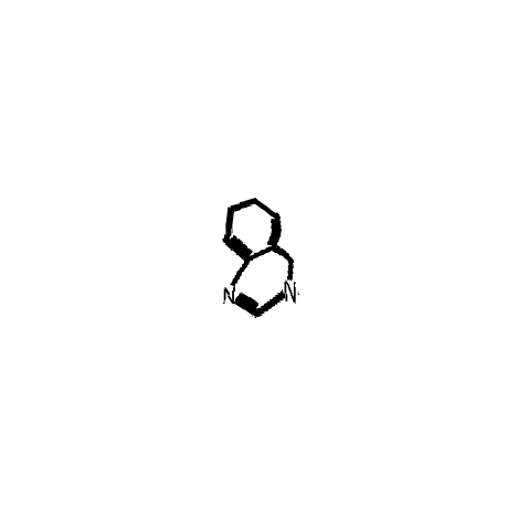 C1=NC2=CCCC=C2C[N]1